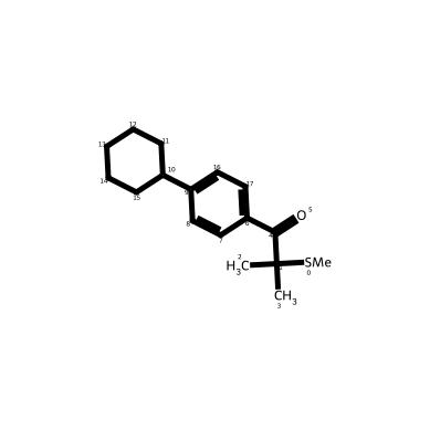 CSC(C)(C)C(=O)c1ccc(C2CCCCC2)cc1